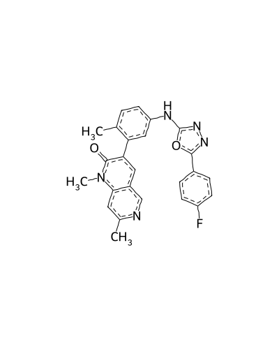 Cc1cc2c(cn1)cc(-c1cc(Nc3nnc(-c4ccc(F)cc4)o3)ccc1C)c(=O)n2C